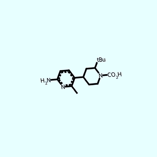 Cc1nc(N)ccc1C1CCN(C(=O)O)C(C(C)(C)C)C1